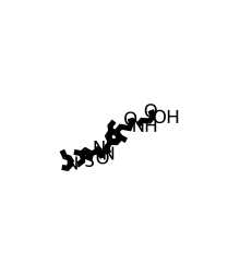 CCCN(CC)Cc1sc(-c2nc(-c3cc(C)c(CCC(=O)NCCC(=O)O)c(CC)c3)no2)cc1C